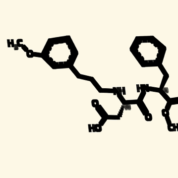 COC(=O)[C@H](Cc1ccccc1)NC(=O)[C@H](CC(=O)O)NCCCc1cccc(OC)c1